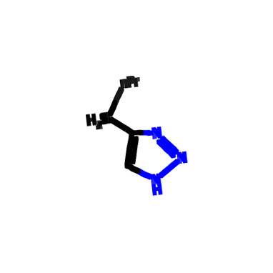 CCC[SiH2]c1c[nH]nn1